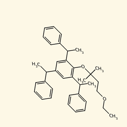 CCOCCC(C)(C)Oc1c(C(C)c2ccccc2)cc(C(C)c2ccccc2)cc1C(C)c1ccccc1